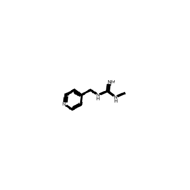 CNC(=N)NCc1ccncc1